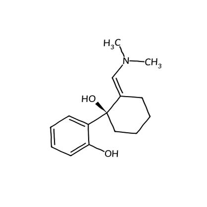 CN(C)C=C1CCCC[C@]1(O)c1ccccc1O